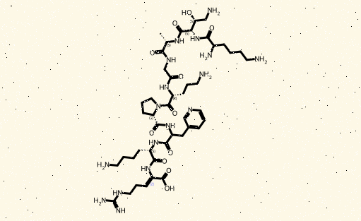 C[C@H](NC(=O)[C@@H](NC(=O)C(N)CCCCN)[C@@H](O)CN)C(=O)NCC(=O)N[C@H](CCCN)C(=O)N1CCC[C@H]1C(=O)NC(Cc1cccnc1)C(=O)N[C@@H](CCCCN)C(=O)N/C(=C\CCNC(=N)N)C(=O)O